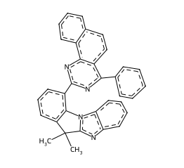 CC1(C)c2cccc(-c3nc(-c4ccccc4)c4ccc5ccccc5c4n3)c2-n2c1nc1ccccc12